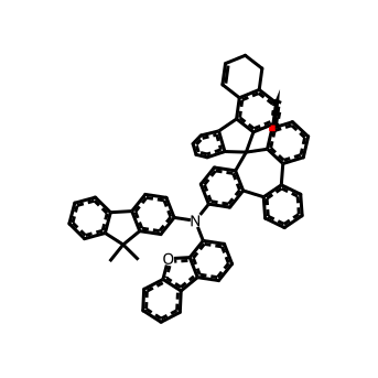 CC1(C)c2ccccc2-c2ccc(N(c3ccc4c(c3)-c3ccccc3-c3ccccc3C43c4ccccc4-c4c5c(c6ccccc6c43)CCC=C5)c3cccc4c3oc3ccccc34)cc21